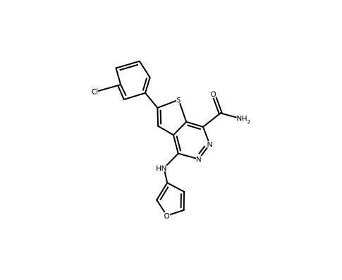 NC(=O)c1nnc(Nc2ccoc2)c2cc(-c3cccc(Cl)c3)sc12